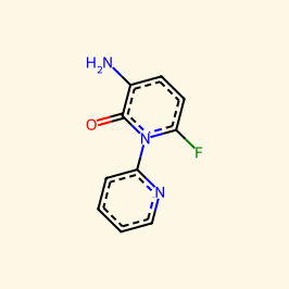 Nc1ccc(F)n(-c2ccccn2)c1=O